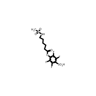 CS(=O)(=O)NCCCCCC(=O)Oc1c(F)c(F)c(S(=O)(=O)O)c(F)c1F